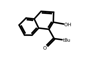 CC(C)(C)C(=O)c1c(O)ccc2ccccc12